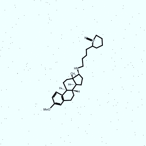 COc1ccc2c(c1)CC[C@@H]1[C@@H]2CC[C@]2(C)[C@@H](NCCCCC3CCCC[N+]3=[N-])CC[C@@H]12